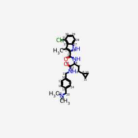 Cc1c(C(=O)NC(CCC2CC2)C(=O)NCc2ccc(CN(C)C)cc2)[nH]c2cccc(Cl)c12